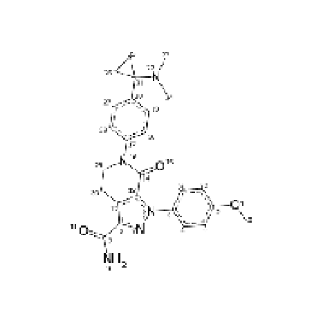 COc1ccc(-n2nc(C(N)=O)c3c2C(=O)N(c2ccc(C4(N(C)C)CC4)cc2)CC3)cc1